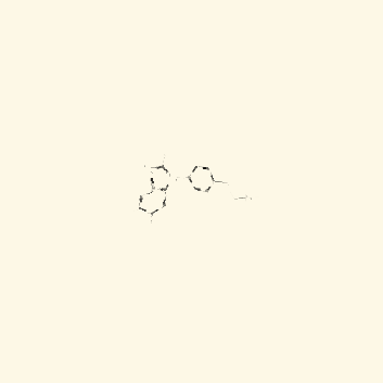 CCc1nc2cc(C(F)(F)F)c(Cl)cc2n1-c1ccc(CCN)cc1